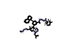 C=C(C)/C=C(\C=C/C)c1cc(C/C=C\C=C/C)nc(-c2cc(C(=C)/C=C\C=C(/C)c3nccc(C)n3)cc(-c3cccc4ccccc34)c2)n1